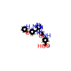 Nc1ncnc2c1c(-c1ccc(Oc3ccccc3)cc1)nn2CC(=O)Nc1ccc(C(=O)O)cc1